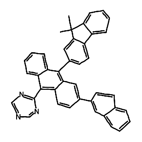 CC1(C)c2ccccc2-c2ccc(-c3c4ccccc4c(-c4ncncn4)c4ccc(-c5ccc6ccccc6c5)cc34)cc21